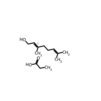 CC(C)=CCC/C(C)=C/CO.CCC(=O)O